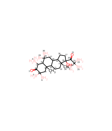 BC1C(=O)C(B)(B)CC2(C)C3CCC4(C)C(CCC4(O)C(=O)C(B)(B)B)C3CC(B)(B)C12